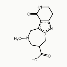 CN1Cc2c3c(nn2CC(C(=O)O)C1)CCNC3=O